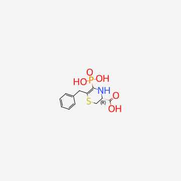 O=C(O)[C@@H]1CSC(Cc2ccccc2)=C(P(=O)(O)O)N1